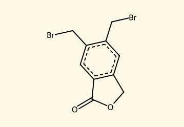 O=C1OCc2cc(CBr)c(CBr)cc21